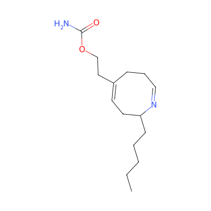 CCCCCC1C/C=C(/CCOC(N)=O)CC/C=N\1